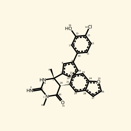 CN1C(=N)N[C@](C)(c2cc(-c3ccc(Cl)c(O)c3)cs2)[C@H](c2ccc3occc3c2)C1=O